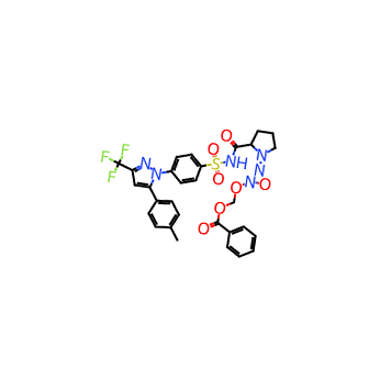 Cc1ccc(-c2cc(C(F)(F)F)nn2-c2ccc(S(=O)(=O)NC(=O)C3CCCN3n3on3OCOC(=O)c3ccccc3)cc2)cc1